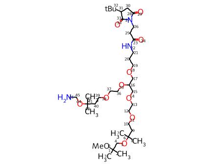 COC(C)(C)COC(C)(C)CCOCCOCC(COCCCNC(=O)CCN1C(=O)CC(C(C)(C)C)C1=O)OCCOCCC(C)(C)OCN